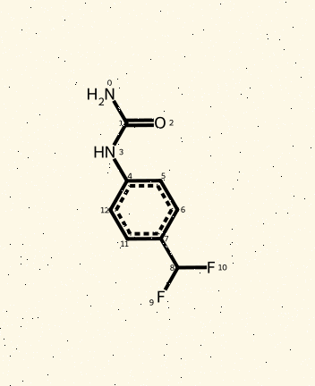 NC(=O)Nc1ccc(C(F)F)cc1